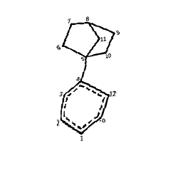 [c]1cccc(C23CCC(CC2)C3)c1